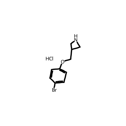 Brc1ccc(OCC2CNC2)cc1.Cl